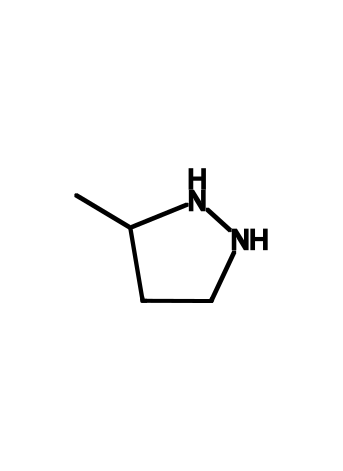 CC1CCNN1